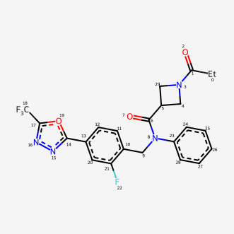 CCC(=O)N1CC(C(=O)N(Cc2ccc(-c3nnc(C(F)(F)F)o3)cc2F)c2ccccc2)C1